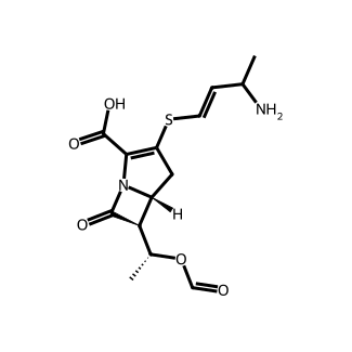 CC(N)C=CSC1=C(C(=O)O)N2C(=O)[C@H]([C@@H](C)OC=O)[C@H]2C1